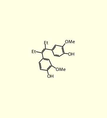 CCC(=C(CC)c1ccc(O)c(OC)c1)c1ccc(O)c(OC)c1